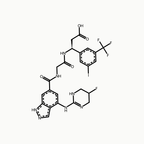 O=C(O)C[C@H](NC(=O)CNC(=O)c1cc(NC2=NCC(F)CN2)c2cn[nH]c2c1)c1cc(I)cc(C(F)(F)F)c1